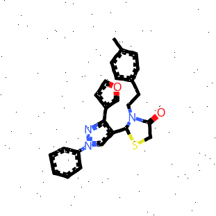 Cc1ccc(CCN2C(=O)CSC2c2cn(-c3ccccc3)nc2-c2ccoc2)cc1